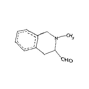 CN1Cc2ccccc2CC1C=O